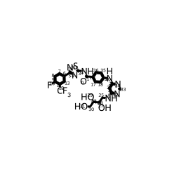 O=C(Nc1nc(-c2ccc(F)c(C(F)(F)F)c2)ns1)c1ccc(Nc2cc(NC[C@H](O)[C@@H](O)CO)ncn2)cc1